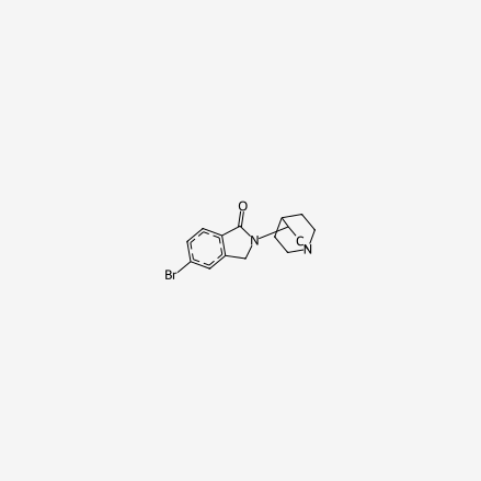 O=C1c2ccc(Br)cc2CN1C1CN2CCC1CC2